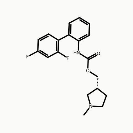 CN1CC[C@@H](COC(=O)Nc2ccccc2-c2ccc(F)cc2F)C1